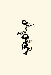 O=C(c1cc(Nc2ccc(NCCc3c[nH]c4ccccc34)cc2)ccn1)C1CC1